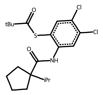 CC(C)C1(C(=O)Nc2cc(Cl)c(Cl)cc2SC(=O)C(C)(C)C)CCCC1